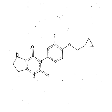 O=c1c2c([nH]c(=S)n1-c1ccc(OCC3CC3)c(F)c1)CCN2